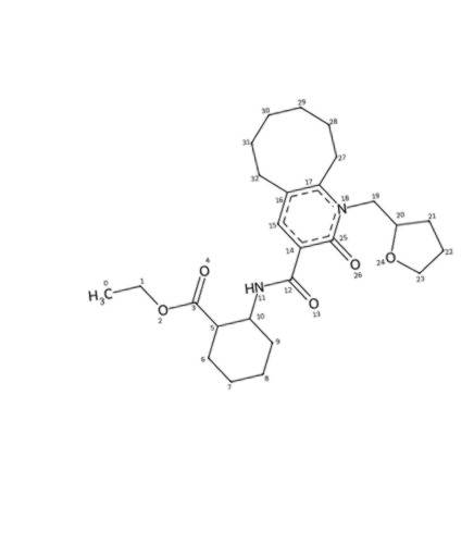 CCOC(=O)C1CCCCC1NC(=O)c1cc2c(n(CC3CCCO3)c1=O)CCCCCC2